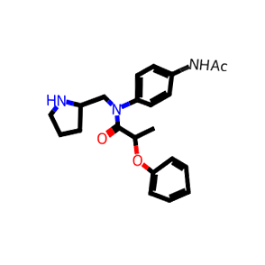 CC(=O)Nc1ccc(N(CC2CCCN2)C(=O)C(C)Oc2ccccc2)cc1